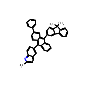 Cc1ccc2cc(-c3c4ccccc4c(-c4ccc5c(c4)-c4ccccc4C5(C)C)c4cc(-c5ccccc5)ccc34)ccc2n1